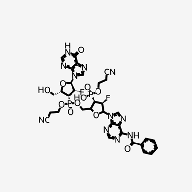 N#CCCOP(=O)(O)[C@@H]1C(COP(=O)(OCCC#N)[C@@H]2[C@H](CO)OC(n3cnc4c(=O)[nH]cnc43)[C@@H]2F)OC(n2cnc3c(NC(=O)c4ccccc4)ncnc32)[C@@H]1F